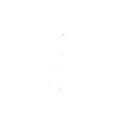 C=CCOC(=O)CN=Cc1ccccc1